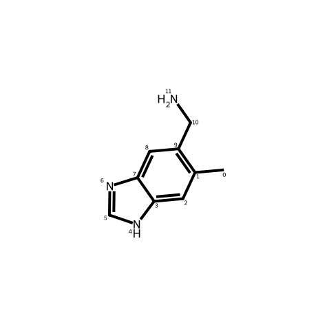 Cc1cc2[nH]cnc2cc1CN